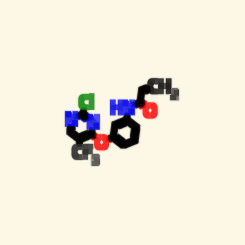 C=CC(=O)Nc1cccc(Oc2nc(Cl)ncc2C(F)(F)F)c1